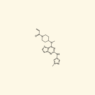 C=CC(=O)N1CCC(N(C)c2nc(Nc3cnn(C)c3)nc3ccsc23)CC1